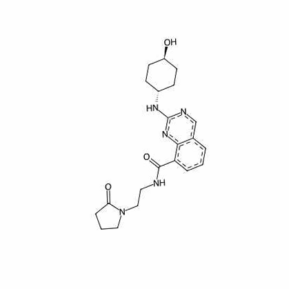 O=C(NCCN1CCCC1=O)c1cccc2cnc(N[C@H]3CC[C@H](O)CC3)nc12